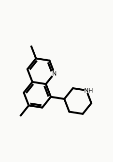 Cc1cnc2c(C3CCCNC3)cc(C)cc2c1